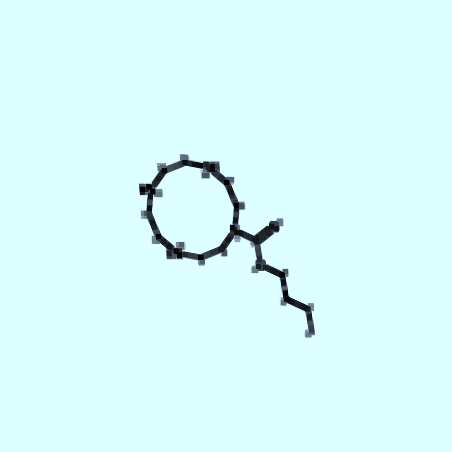 CCCCOC(=O)N1CCNCCNCCNCC1